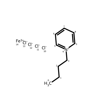 CCCC[n+]1ccccc1.[Cl-].[Cl-].[Cl-].[Cl-].[Fe+3]